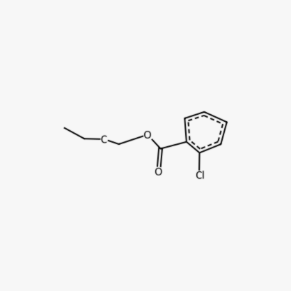 CCCCOC(=O)c1ccccc1Cl